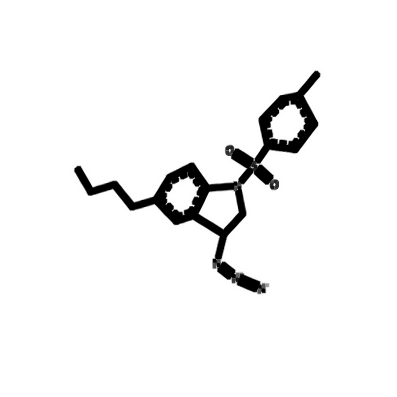 CCCCc1ccc2c(c1)C(N=[N+]=[N-])CN2S(=O)(=O)c1ccc(C)cc1